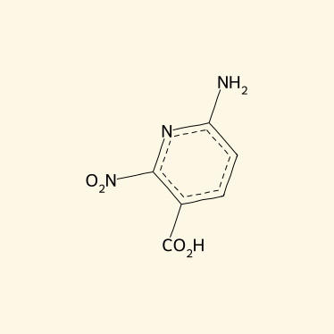 Nc1ccc(C(=O)O)c([N+](=O)[O-])n1